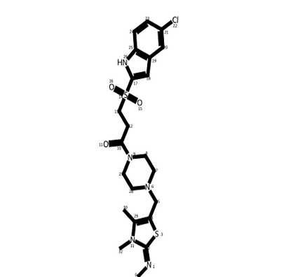 CN=c1sc(CN2CCN(C(=O)CCS(=O)(=O)c3cc4cc(Cl)ccc4[nH]3)CC2)c(C)n1C